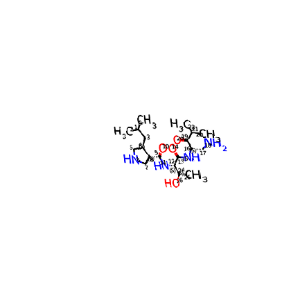 CC(C)C[C@@H]1CNC[C@H]1C(=O)N[C@H](C(=O)N[C@@H](CN)C(=O)C(C)C)[C@H](C)O